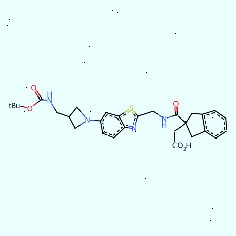 CC(C)(C)OC(=O)NCC1CN(c2ccc3nc(CNC(=O)C4(CC(=O)O)Cc5ccccc5C4)sc3c2)C1